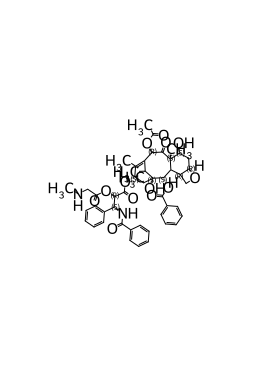 CNCC(=O)O[C@@H](C(=O)O[C@H]1C[C@@]2(O)[C@@H](OC(=O)c3ccccc3)C3[C@@H]4CO[C@@H]4C[C@H](O)[C@@]3(C)C(=O)[C@H](OC(C)=O)C(=C1C)C2(C)C)[C@@H](NC(=O)c1ccccc1)c1ccccc1